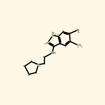 Cc1cc2c(NCCN3CCCC3)n[nH]c2cc1Br